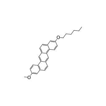 CCCCCCOc1ccc2c(ccc3cc4c(ccc5cc(OC)ccc54)cc32)c1